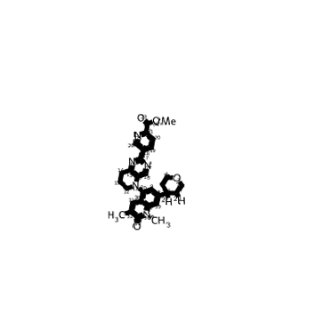 [2H]C1COCCC1([2H])c1cc(N2CCCc3nc(-c4ccc(C(=O)OC)nc4)ncc32)c2cc(C)c(=O)n(C)c2c1